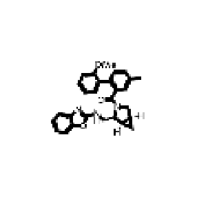 COc1ccccc1-c1ccc(C)cc1C(=O)N1C[C@H]2C[C@H]2[C@H]1CNc1nc2ccccc2o1